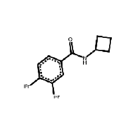 CC(C)c1ccc(C(=O)NC2CCC2)cc1C(C)C